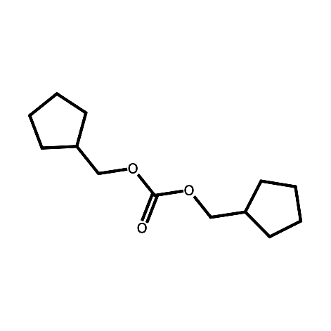 O=C(OCC1CCCC1)OCC1CCCC1